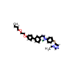 CCCCOCCOc1ccc(-c2cccc(/C=C\N(F)c3ccc(Sc4cncn4CC)cc3)c2)cc1